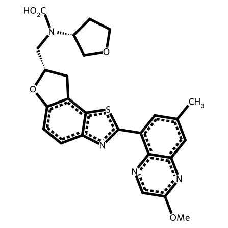 COc1cnc2c(-c3nc4ccc5c(c4s3)C[C@@H](CN(C(=O)O)[C@@H]3CCOC3)O5)cc(C)cc2n1